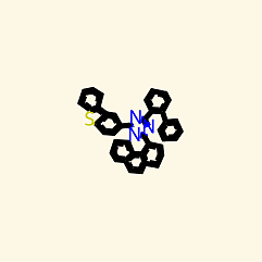 c1ccc(-c2ccccc2-c2nc(-c3ccc4sc5ccccc5c4c3)nc(-c3cccc4ccc5ccccc5c34)n2)cc1